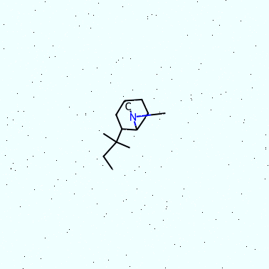 CCC(C)(C)C1CC2CCC1N(C)C2